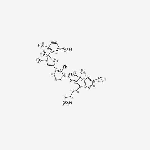 C=C(/C=C/C1=C(Cl)C(=C/C=C2/N(CCCCS(=O)(=O)O)c3ccc(S(=O)(=O)O)cc3C2(C)C)/CCC1)C(C)(C)c1cc(S(=O)(=O)O)ccc1C